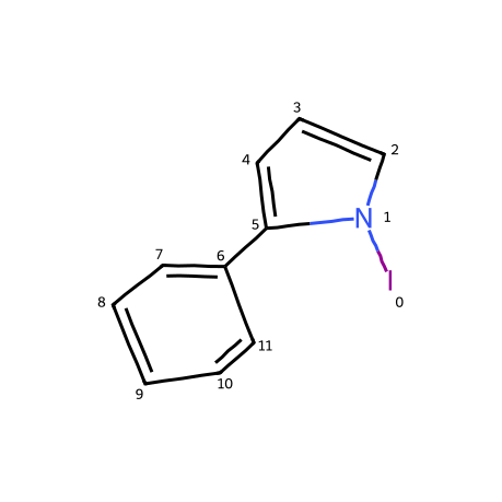 In1cccc1-c1ccccc1